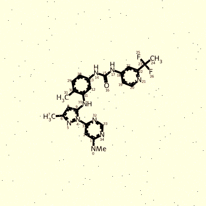 CNc1cc(-n2nc(C)cc2Nc2cc(NC(=O)Nc3ccnc(C(C)(F)F)c3)ccc2C)ncn1